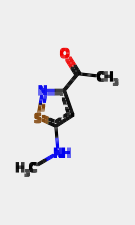 CNc1cc(C(C)=O)ns1